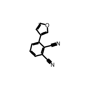 N#Cc1cccc(-c2c[c]oc2)c1C#N